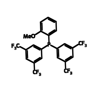 COc1ccccc1P(c1cc(C(F)(F)F)cc(C(F)(F)F)c1)c1cc(C(F)(F)F)cc(C(F)(F)F)c1